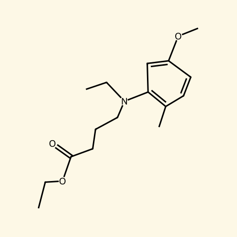 CCOC(=O)CCCN(CC)c1cc(OC)ccc1C